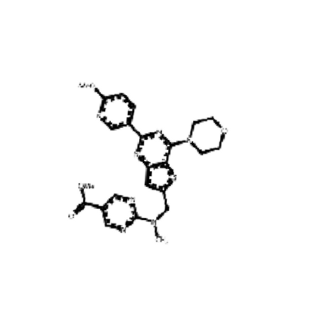 COC(=O)c1cnc(N(C)Cc2cc3nc(-c4ccc(OC)nc4)nc(N4CCOCC4)c3s2)nc1